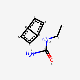 CCNC(N)=O.c1cc2ccc1-2